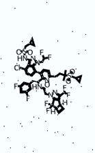 CC(C)(CCc1ccc(-c2ccc(Cl)c3c(NS(=O)(=O)CC4CC4)nn(CC(F)F)c23)c([C@H](Cc2cc(F)cc(F)c2)NC(=O)Cn2nc(C(F)F)c3c2C(F)(F)[C@@H]2C=C[C@H]32)n1)S(=O)(=O)C1CC1